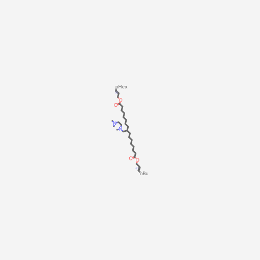 CCCC/C=C/COC(=O)CCCCCCCC(CCCCCCCC(=O)OC/C=C/CCCCCC)CN(C)CCN(C)C